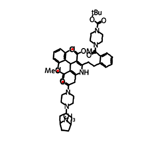 COC(=O)C1=C(CCc2ccccc2C(=O)N2CCN(C(=O)OC(C)(C)C)CC2)NC(CC(=O)N2CCN(C3CC4CCC(C3)N4C)CC2)=C(C(=O)OC)C1c1c(Cl)cccc1Cl